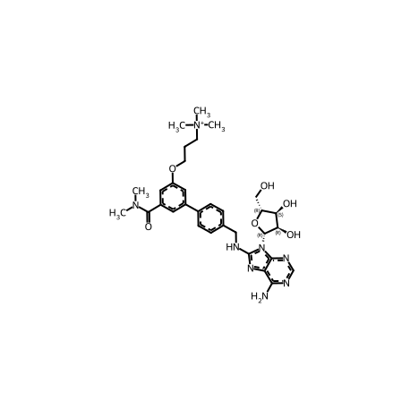 CN(C)C(=O)c1cc(OCCC[N+](C)(C)C)cc(-c2ccc(CNc3nc4c(N)ncnc4n3[C@@H]3O[C@H](CO)[C@@H](O)[C@H]3O)cc2)c1